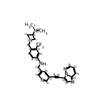 CN(C)C1CN(Cc2ccc(NCc3cncc(C#Cc4cnc5cccnn45)c3)cc2C(F)(F)F)C1